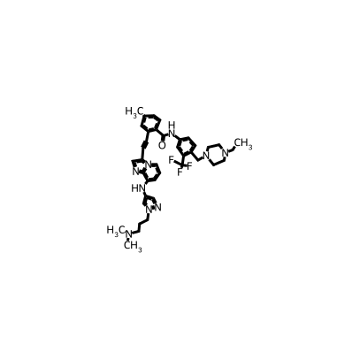 CCN1CCN(Cc2ccc(NC(=O)c3ccc(C)cc3C#Cc3cnc4c(Nc5cnn(CCCN(C)C)c5)cccn34)cc2C(F)(F)F)CC1